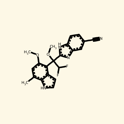 COc1cc(C)c2[nH]ccc2c1C(OC)(c1nc2cc(C#N)ccc2[nH]1)C(F)F